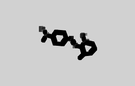 CCN(C)c1ccc(/N=N/c2c(C)ccc[n+]2[O-])cc1